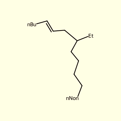 [CH2]CCC/C=C/CC(CC)CCCCCCCCCCCC[CH2]